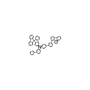 c1ccc(-c2cccc(N(c3ccc(-c4cccc(-c5cccc6c5oc5ccccc56)c4)cc3)c3ccc(C4(c5ccccc5)c5ccccc5-c5ccccc54)cc3)c2)cc1